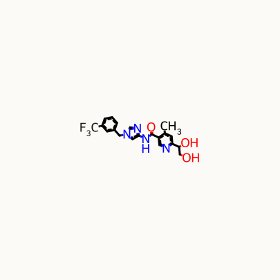 Cc1cc(C(O)CO)ncc1C(=O)Nc1cn(Cc2cccc(C(F)(F)F)c2)cn1